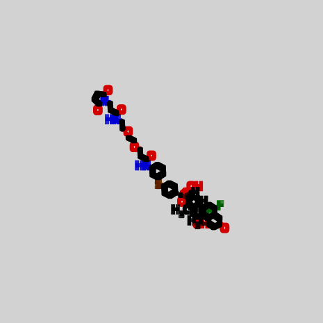 C[C@]12C=CC(=O)C=C1[C@@H](F)C[C@H]1[C@@H]3C[C@H]4O[C@@H](c5ccc(Sc6cccc(NC(=O)CCOCCOCCNC(=O)CCN7C(=O)C=CC7=O)c6)cc5)O[C@@]4(C(=O)CO)[C@@]3(C)C[C@H](O)[C@@]12F